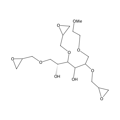 COCCOCC(OCC1CO1)C(O)C(OCC1CO1)[C@H](O)COCC1CO1